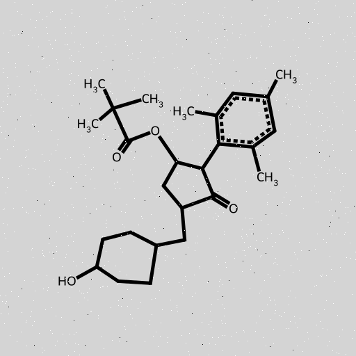 Cc1cc(C)c(C2C(=O)C(CC3CCC(O)CC3)CC2OC(=O)C(C)(C)C)c(C)c1